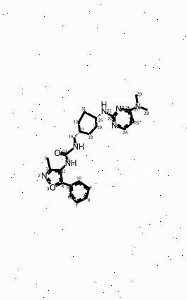 Cc1noc(-c2ccccc2)c1NC(=O)NC[C@H]1CC[C@@H](Nc2nccc(N(C)C)n2)CC1